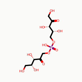 O=C(COP(=O)(O)OC[C@@H](O)[C@H](O)C(=O)CO)[C@@H](O)[C@H](O)CO